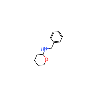 c1ccc(CNC2CCCCO2)cc1